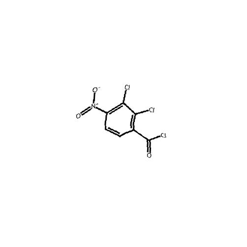 O=C(Cl)c1ccc([N+](=O)[O-])c(Cl)c1Cl